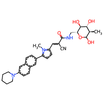 C[C@H]1C(O)O[C@H](CNC(=O)/C(C#N)=C/c2ccc(-c3ccc4cc(N5CCCCC5)ccc4c3)n2C)[C@@H](O)[C@@H]1O